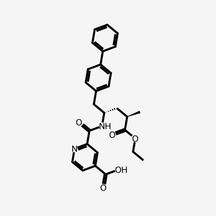 CCOC(=O)[C@H](C)C[C@@H](Cc1ccc(-c2ccccc2)cc1)NC(=O)c1cc(C(=O)O)ccn1